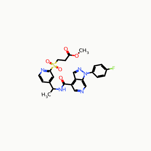 COC(=O)CCS(=O)(=O)c1cc(C(C)NC(=O)c2cncc3c2cnn3-c2ccc(F)cc2)ccn1